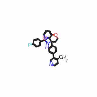 Cc1ccncc1-c1ccc([C@@]2(NC(=O)c3ccc(F)cc3)CCOc3cccnc32)cc1